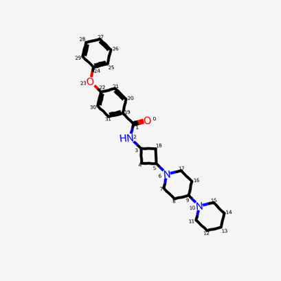 O=C(NC1CC(N2CCC(N3CCCCC3)CC2)C1)c1ccc(Oc2ccccc2)cc1